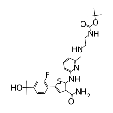 CC(C)(C)OC(=O)NCCNCc1cccc(Nc2sc(-c3ccc(C(C)(C)O)cc3F)cc2C(N)=O)n1